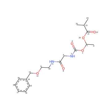 CC(OC(=O)NCC(=O)NCCOCc1ccccc1)OC(=O)C(C)C